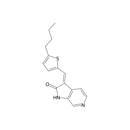 CCCCc1ccc(C=C2C(=O)Nc3cnccc32)s1